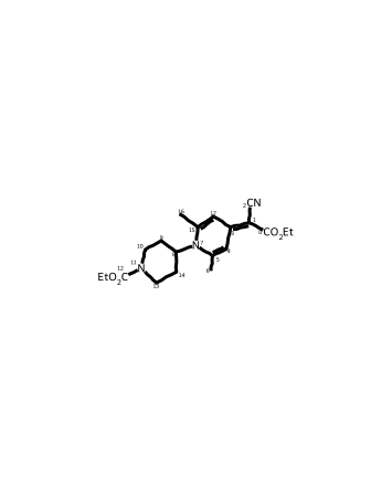 CCOC(=O)C(C#N)=C1C=C(C)N(C2CCN(C(=O)OCC)CC2)C(C)=C1